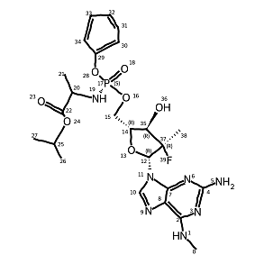 CNc1nc(N)nc2c1ncn2[C@@H]1O[C@H](CO[P@@](=O)(NC(C)C(=O)OC(C)C)Oc2ccccc2)[C@@H](O)[C@@]1(C)F